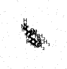 CS(=O)(=O)c1cc(-c2ncc(-c3cn[nH]c3)c3onc(N)c23)c(F)cc1N